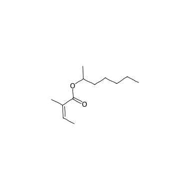 CC=C(C)C(=O)OC(C)CCCCC